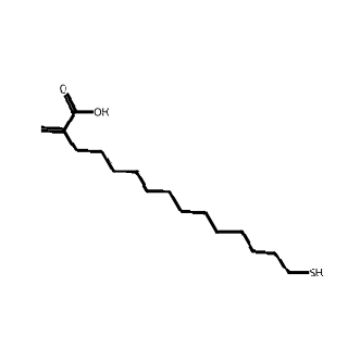 C=C(CCCCCCCCCCCCCS)C(=O)O